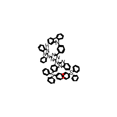 c1ccc(S(c2ccccc2)(c2ccccc2)c2ccc3nc4n(-c5nc(-c6cccc(-n7c8ccccc8c8ccccc87)c6)nc(N6c7ccccc7N7c8ccccc8NC67)n5)c5ccc(S(c6ccccc6)(c6ccccc6)c6ccccc6)cc5n4c3c2)cc1